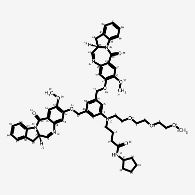 COCCOCCOCCN(CCCC(=O)NC1CCCC1)c1cc(COc2cc3c(cc2OC)C(=O)N2c4ccccc4C[C@H]2C=N3)cc(COc2cc3c(cc2OC)C(=O)N2c4ccccc4C[C@H]2C=N3)c1